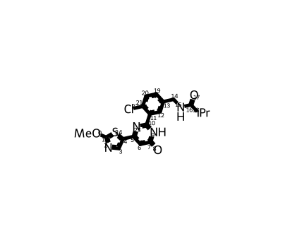 COc1ncc(-c2cc(=O)[nH]c(-c3cc(CNC(=O)C(C)C)ccc3Cl)n2)s1